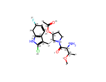 CO[C@H](C)[C@H](N)C(=O)N1CC[C@H](OC(C)=O)[C@H]1Cc1c(Cl)[nH]c2c1C=CC(F)C2